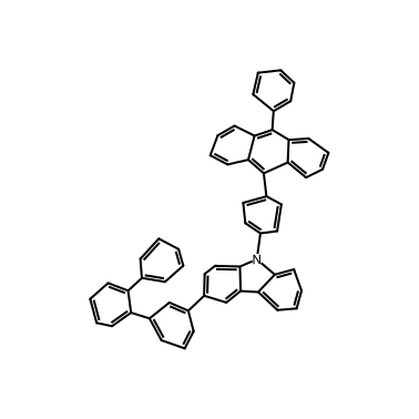 c1ccc(-c2ccccc2-c2cccc(-c3ccc4c(c3)c3ccccc3n4-c3ccc(-c4c5ccccc5c(-c5ccccc5)c5ccccc45)cc3)c2)cc1